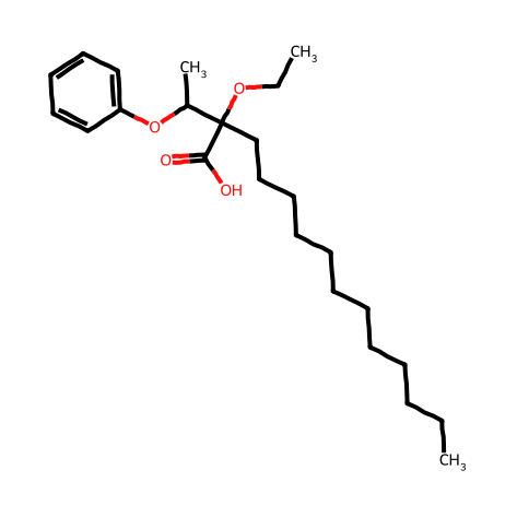 CCCCCCCCCCCCC(OCC)(C(=O)O)C(C)Oc1ccccc1